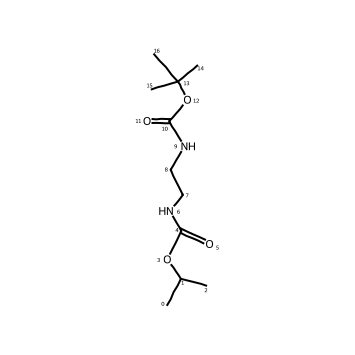 CC(C)OC(=O)NCCNC(=O)OC(C)(C)C